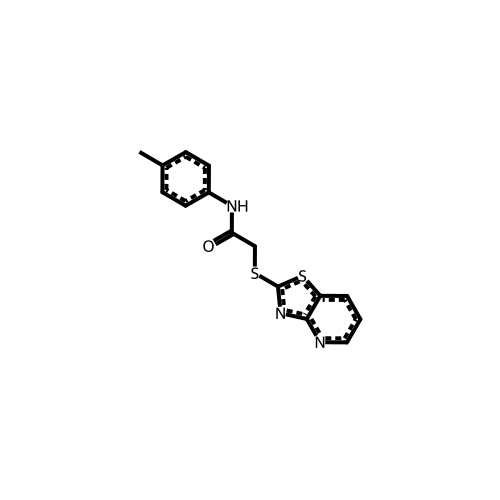 Cc1ccc(NC(=O)CSc2nc3ncccc3s2)cc1